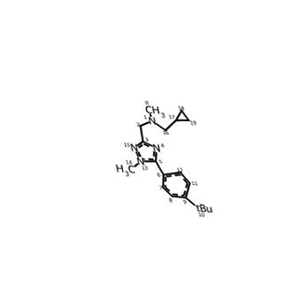 CN(Cc1nc(-c2ccc(C(C)(C)C)cc2)n(C)n1)CC1CC1